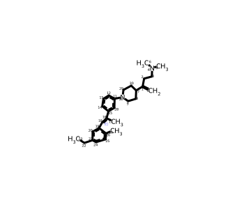 C=C(CCN(C)C)C1CCN(c2cccc(/C(C)=C/c3cc(CC)ccc3C)c2)CC1